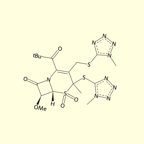 CO[C@H]1C(=O)N2C(C(=O)C(C)(C)C)=C(CSc3nnnn3C)C(C)(Sc3nnnn3C)S(=O)(=O)[C@H]12